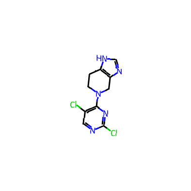 Clc1ncc(Cl)c(N2CCc3[nH]cnc3C2)n1